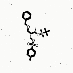 Cc1ccc(S(=O)(=O)OC[C@H](COCc2ccccc2)[C@@H](C)O[Si](C)(C)C(C)(C)C)cc1